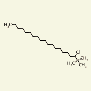 CCCCCCCCCCCCCCCCCC(Cl)[N+](C)(C)C